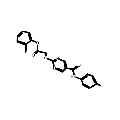 O=C(COc1ncc(C(=O)Nc2ccc(F)cc2)cn1)Oc1ccccc1F